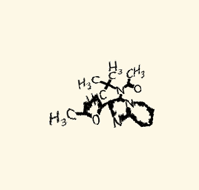 CC(=O)N(c1c(-c2ccc(C)o2)nc2ccccn12)C(C)(C)C